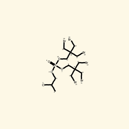 CC(Cl)COP(=O)(OCC(CBr)(CBr)CBr)OCC(CBr)(CBr)CBr